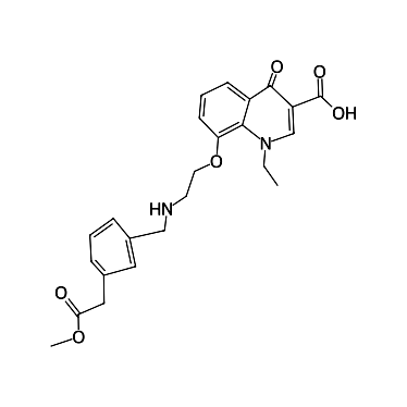 CCn1cc(C(=O)O)c(=O)c2cccc(OCCNCc3cccc(CC(=O)OC)c3)c21